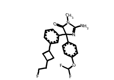 CN1C(=O)C(c2ccc(OC(F)F)cc2)(c2cccc(C3CC(CCF)C3)c2)N=C1N